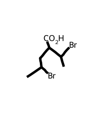 CC(Br)CC(C(=O)O)C(C)Br